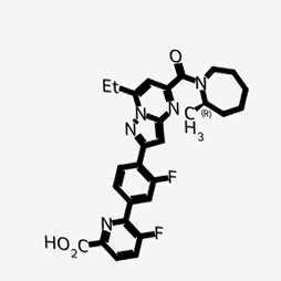 CCc1cc(C(=O)N2CCCCC[C@H]2C)nc2cc(-c3ccc(-c4nc(C(=O)O)ccc4F)cc3F)nn12